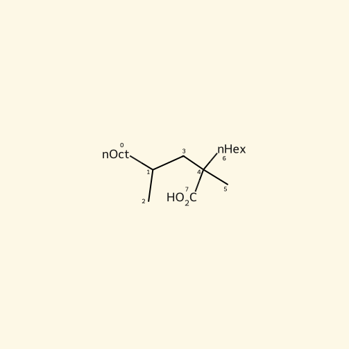 CCCCCCCCC(C)CC(C)(CCCCCC)C(=O)O